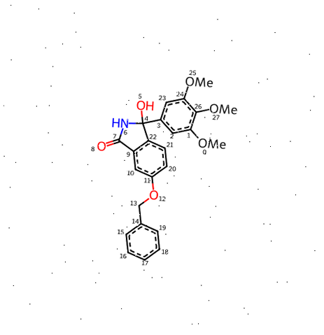 COc1cc(C2(O)NC(=O)c3cc(OCc4ccccc4)ccc32)cc(OC)c1OC